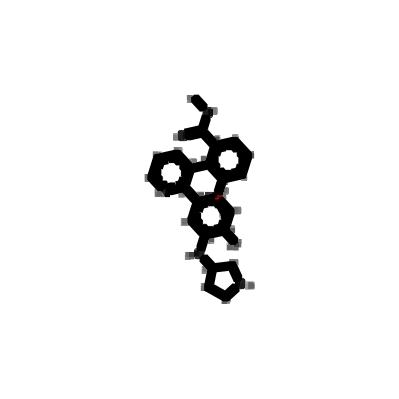 CNc1cccc(C(=O)OC)c1-c1cccnc1-c1ccc(F)c(OC2CCOC2)c1